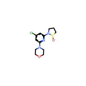 [O-][S+]1CCCN1c1cc(Cl)cc(N2CCOCC2)n1